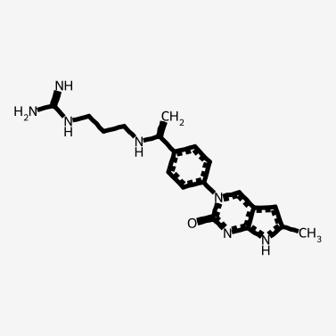 C=C(NCCCNC(=N)N)c1ccc(-n2cc3cc(C)[nH]c3nc2=O)cc1